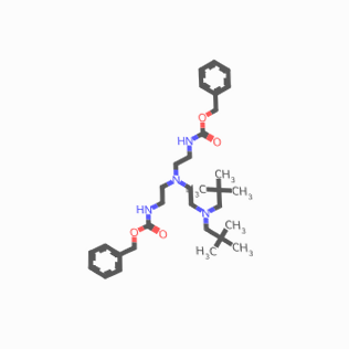 CC(C)(C)CN(CCN(CCNC(=O)OCc1ccccc1)CCNC(=O)OCc1ccccc1)CC(C)(C)C